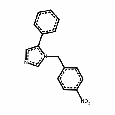 O=[N+]([O-])c1ccc(Cn2cncc2-c2ccccc2)cc1